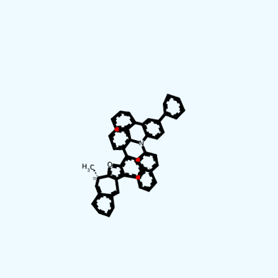 C[C@H]1C=c2ccccc2=Cc2c1oc1c(-c3ccccc3N(c3ccc4ccccc4c3)c3ccc(-c4ccccc4)cc3-c3ccccc3)cccc21